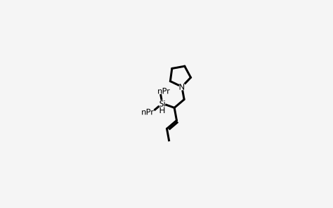 CC=CC(CN1CCCC1)[SiH](CCC)CCC